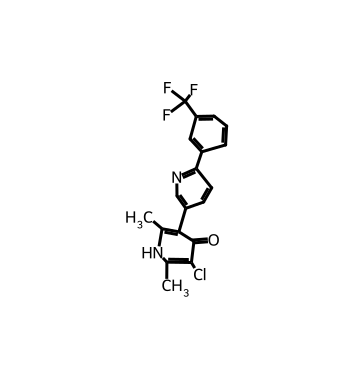 Cc1[nH]c(C)c(-c2ccc(-c3cccc(C(F)(F)F)c3)nc2)c(=O)c1Cl